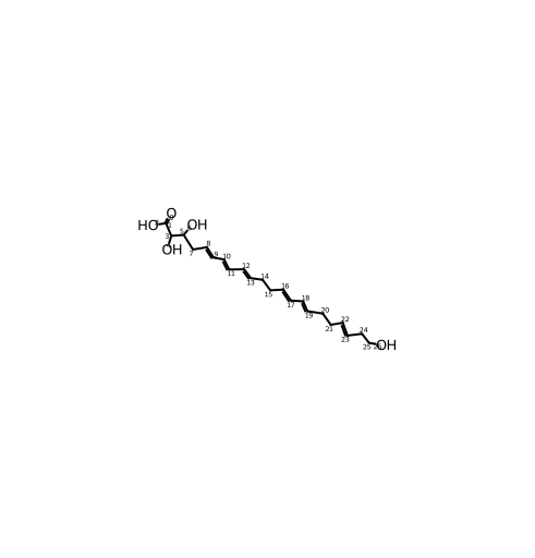 O=C(O)C(O)C(O)CC=CC=CC=CCCC=CC=CCCC=CCCO